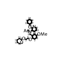 COc1ccc(OCCOC2CCCCO2)c(CN(C(C)=O)c2cccnc2Oc2ccccc2)c1